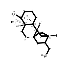 CSCC1C[C@]23CC[C@H]1C[C@H]2[C@]1(C)CCC[C@@](C)(C(=O)O)[C@H]1CC3